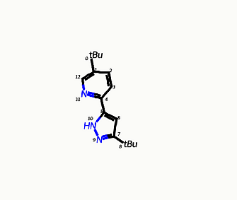 CC(C)(C)c1ccc(-c2cc(C(C)(C)C)n[nH]2)nc1